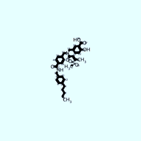 CCCCCc1ccc(CNC(=O)c2ccc(CN(Cc3ccc(O)c(C(=O)O)c3)C(=O)/C=C(/C)S(C)(=O)=O)cc2)cc1